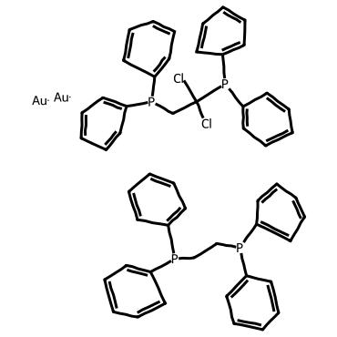 ClC(Cl)(CP(c1ccccc1)c1ccccc1)P(c1ccccc1)c1ccccc1.[Au].[Au].c1ccc(P(CCP(c2ccccc2)c2ccccc2)c2ccccc2)cc1